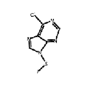 Clc1ncnc2c1ncn2SI